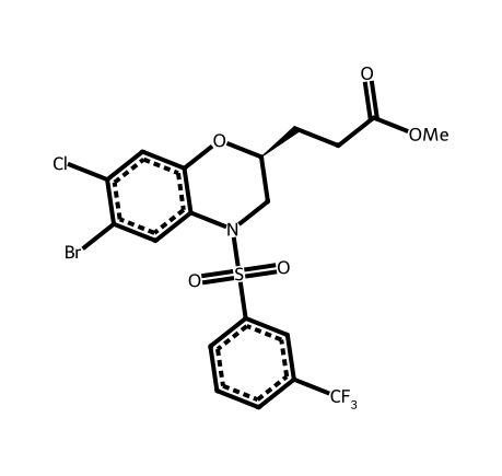 COC(=O)CC[C@H]1CN(S(=O)(=O)c2cccc(C(F)(F)F)c2)c2cc(Br)c(Cl)cc2O1